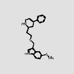 CCCCSc1ccc2[nH]cc(CSCCC3CC(c4ccccc4)=CCN3)c2c1